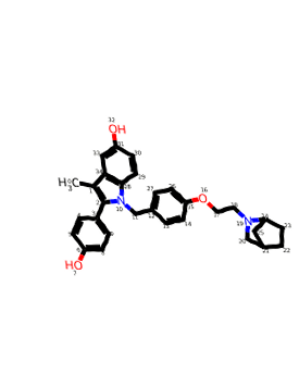 Cc1c(-c2ccc(O)cc2)n(Cc2ccc(OCCN3CC4CCC3C4)cc2)c2ccc(O)cc12